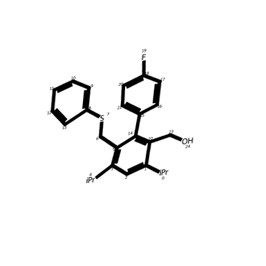 CC(C)c1cc(C(C)C)c(CSc2ccccc2)c(-c2ccc(F)cc2)c1CO